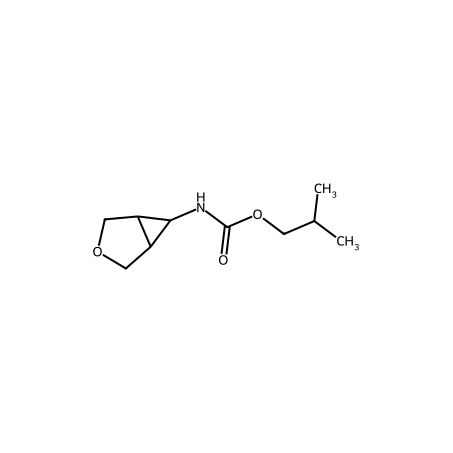 CC(C)COC(=O)NC1C2COCC21